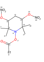 CCC(=O)ON1C(C)(C)C(O[N+](=O)[O-])CC(O[N+](=O)[O-])C1(C)C